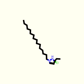 CCCCCCCCCCCCCCCCN1C=CC(Cl)(CC)N1